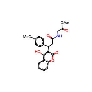 COC(=O)CNC(=O)CC(c1ccc(OC)cc1)c1c(O)c2ccccc2oc1=O